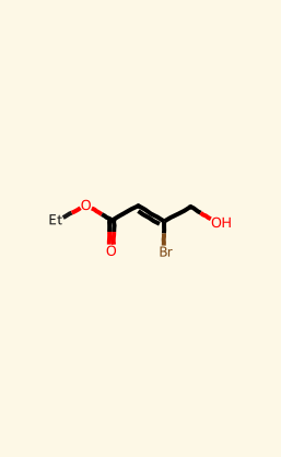 CCOC(=O)/C=C(\Br)CO